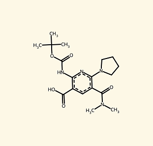 CN(C)C(=O)c1cc(C(=O)O)c(NC(=O)OC(C)(C)C)nc1N1CCCC1